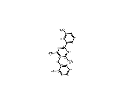 Cc1cccc(-c2nc(N)c(Cc3ccccc3F)c(N)n2)n1